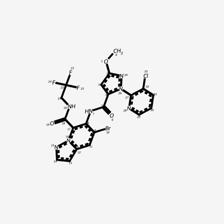 COc1cc(C(=O)Nc2c(Br)cc3ccnn3c2C(=O)NCC(F)(F)F)n(-c2ncccc2Cl)n1